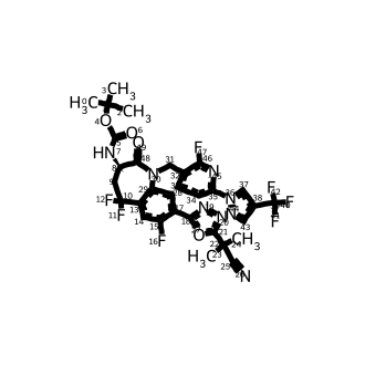 CC(C)(C)OC(=O)N[C@@H]1CC(F)(F)c2cc(F)c(-c3nnc(C(C)(C)C#N)o3)cc2N(Cc2ccc(-n3cc(C(F)(F)F)cn3)nc2F)C1=O